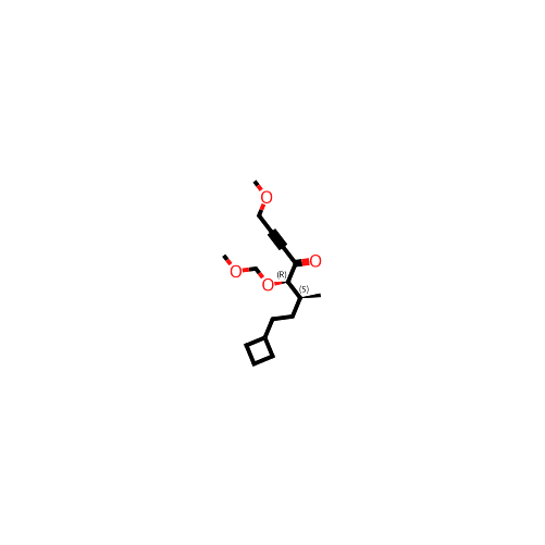 COCC#CC(=O)[C@H](OCOC)[C@@H](C)CCC1CCC1